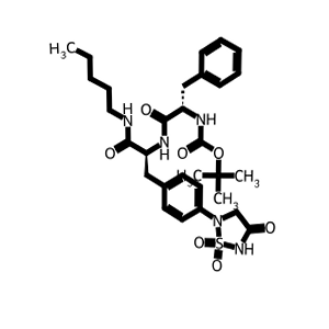 CCCCCNC(=O)[C@H](Cc1ccc(N2CC(=O)NS2(=O)=O)cc1)NC(=O)[C@H](Cc1ccccc1)NC(=O)OC(C)(C)C